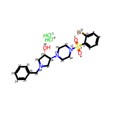 Cl.Cl.O=S(=O)(c1ccccc1Br)N1CCN([C@H]2CN(Cc3ccccc3)C[C@@H]2O)CC1